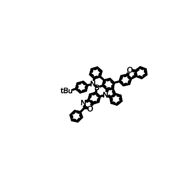 CC(C)(C)c1ccc(N2B3c4cc5nc(-c6ccccc6)oc5cc4-n4c5ccccc5c5c(-c6ccc7c(c6)oc6ccccc67)cc(c3c54)-c3ccccc32)cc1